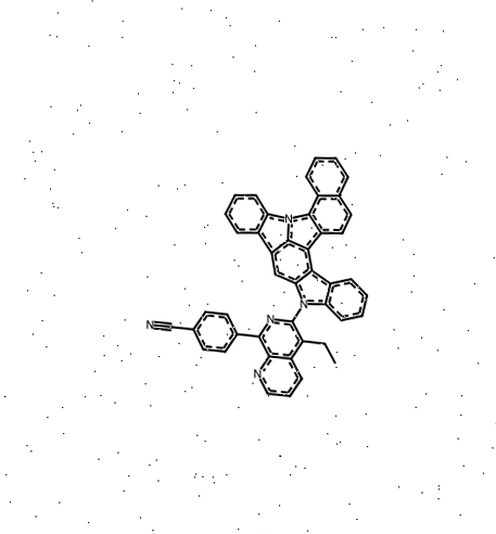 CCc1c(-n2c3ccccc3c3c4c5ccc6ccccc6c5n5c6ccccc6c(cc32)c45)nc(-c2ccc(C#N)cc2)c2ncccc12